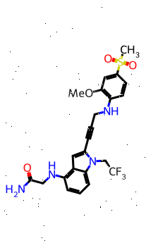 COc1cc(S(C)(=O)=O)ccc1NCC#Cc1cc2c(NCC(N)=O)cccc2n1CC(F)(F)F